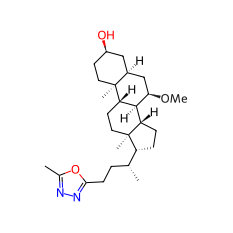 CO[C@@H]1C[C@@H]2C[C@H](O)CC[C@]2(C)[C@H]2CC[C@]3(C)[C@@H]([C@H](C)CCc4nnc(C)o4)CC[C@H]3[C@H]12